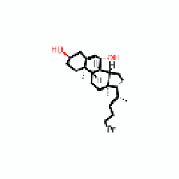 CC(C)CCC[C@@H](C)[C@H]1CC[C@H]2[C@@H]3[C@@H](O)C=C4C[C@H](O)CC[C@]4(C)[C@H]3CC[C@]12C